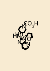 CC1(n2c(NC3CCN(C(=O)O)CC3)nc3cccnc32)CC=CO1